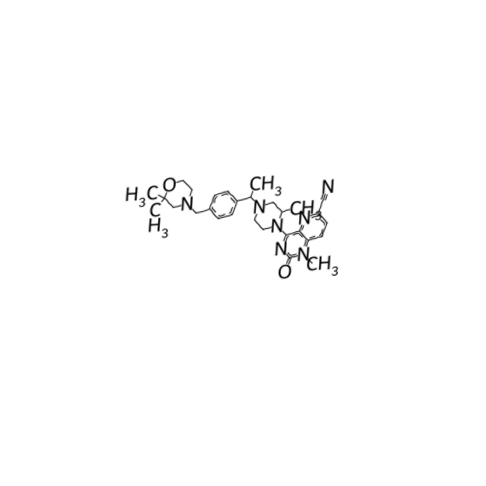 CC(c1ccc(CN2CCOC(C)(C)C2)cc1)N1CCN(c2nc(=O)n(C)c3ccc(C#N)nc23)C(C)C1